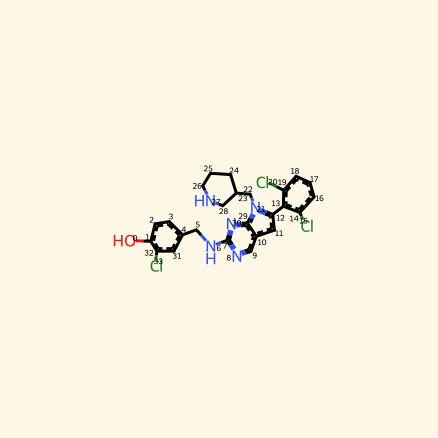 Oc1ccc(CNc2ncc3cc(-c4c(Cl)cccc4Cl)n(CC4CCCNC4)c3n2)cc1Cl